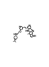 Cc1c(Nc2c(C#N)cncc2C=Cc2cncc(OCCNC3CCN(C(C)C)CC3)c2)ccc2[nH]ccc12